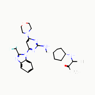 COC(=O)C(C)N[C@H]1CC[C@H](CNc2nc(N3CCOCC3)cc(-n3c(C(F)F)nc4ccccc43)n2)CC1